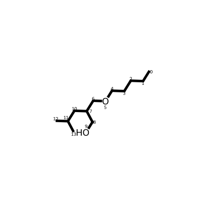 CCCCCOCC(CO)CC(C)C